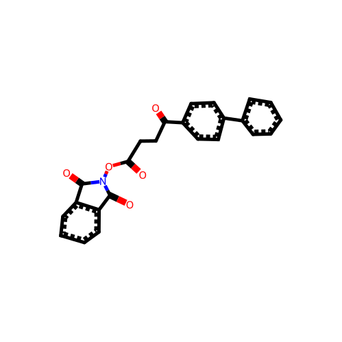 O=C(CCC(=O)c1ccc(-c2ccccc2)cc1)ON1C(=O)c2ccccc2C1=O